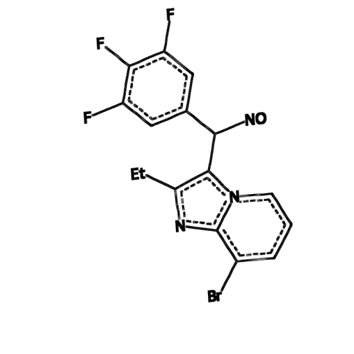 CCc1nc2c(Br)cccn2c1C(N=O)c1cc(F)c(F)c(F)c1